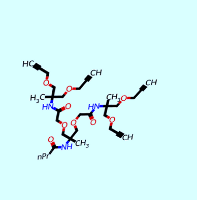 C#CCOCC(C)(COCC#C)NC(=O)COCC(C)(COCC(=O)NC(C)(COCC#C)COCC#C)NC(=O)CCC